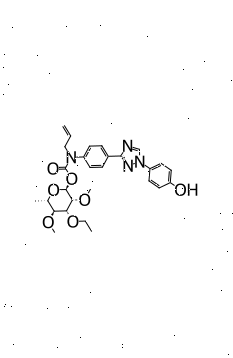 C=CCN(C(=O)O[C@@H]1O[C@@H](C)[C@H](OC)[C@@H](OCC)[C@H]1OC)c1ccc(-c2ncn(-c3ccc(O)cc3)n2)cc1